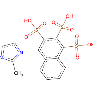 Cc1ncc[nH]1.O=S(=O)(O)c1cc2ccccc2c(S(=O)(=O)O)c1S(=O)(=O)O